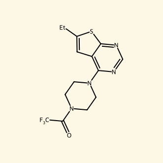 CCc1cc2c(N3CCN(C(=O)C(F)(F)F)CC3)ncnc2s1